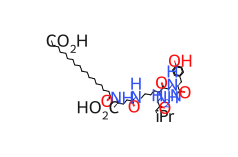 CC(C)CC(=O)CN[C@@H](CCCCNC(=O)CC[C@H](NC(=O)CCCCCCCCCCCCCCCCC(=O)O)C(=O)O)C(=O)CN[C@@H](Cc1ccc(O)cc1)C(N)=O